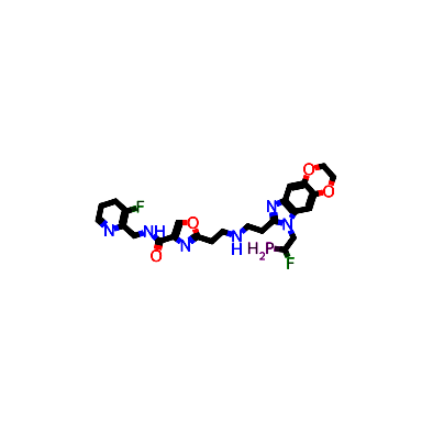 O=C(NCC1=C(F)CCC=N1)c1coc(CCNCCc2nc3cc4c(cc3n2CC(F)P)OCCO4)n1